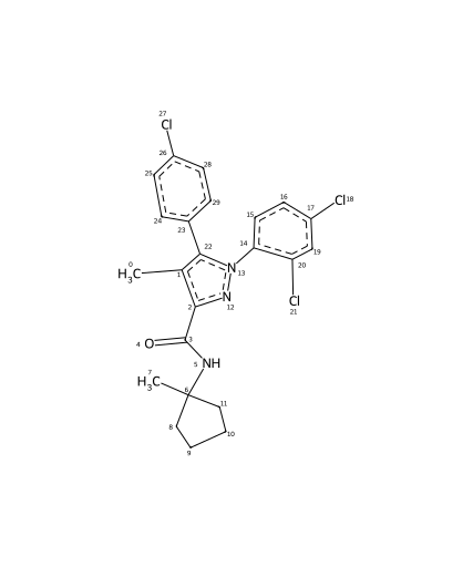 Cc1c(C(=O)NC2(C)CCCC2)nn(-c2ccc(Cl)cc2Cl)c1-c1ccc(Cl)cc1